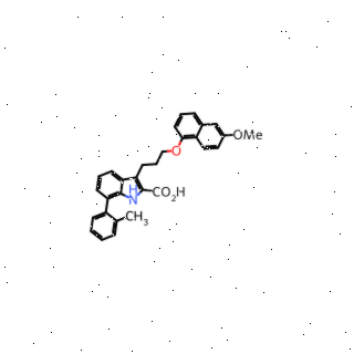 COc1ccc2c(OCCCc3c(C(=O)O)[nH]c4c(-c5ccccc5C)cccc34)cccc2c1